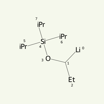 [Li][CH](CC)O[Si](C(C)C)(C(C)C)C(C)C